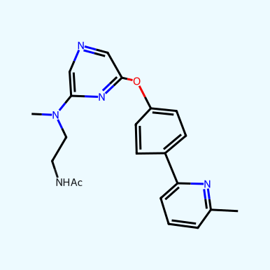 CC(=O)NCCN(C)c1cncc(Oc2ccc(-c3cccc(C)n3)cc2)n1